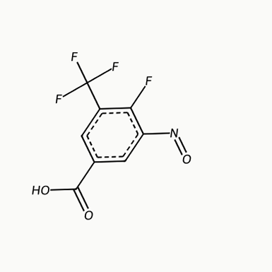 O=Nc1cc(C(=O)O)cc(C(F)(F)F)c1F